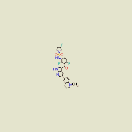 CN1CCCc2cc(-c3cnc4[nH]cc(C(=O)c5c(F)ccc(NS(=O)(=O)N6CC[C@@H](F)C6)c5F)c4c3)ccc21